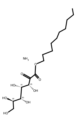 CCCCCCCCCCOC(=O)C(=O)[C@H](O)[C@@H](O)[C@H](O)[C@H](O)CO.N